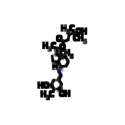 CC1[C@H](O)CC(=C/C=C2\CCC[C@]3(C)[C@@H]([C@H](C)OC(=O)CCC(C)(C)O)CC[C@@H]23)C[C@H]1O